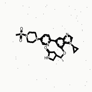 C[C@@H](Oc1cc(-c2ccc(N3CCN(S(C)(=O)=O)CC3)cn2)cc2ncn(C3CC3)c12)C1CNC(=O)C1